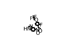 CC(F)(F)COc1ccc(C2COC(=O)N2c2ccc3[nH]cnc3c2)c(F)c1